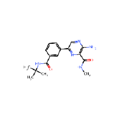 CNC(=O)c1nc(-c2cccc(C(=O)NC(C)(C)C)c2)cnc1N